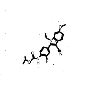 CCn1c(-c2ccc(NC(=O)OC(C)C)c(F)c2)c(C#N)c2ccc(OC)cc21